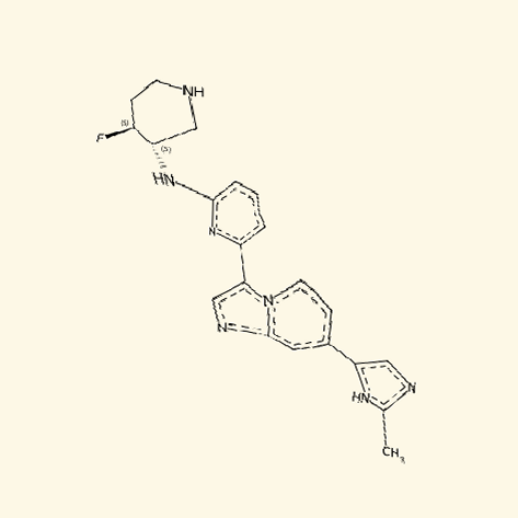 Cc1ncc(-c2ccn3c(-c4cccc(N[C@H]5CNCC[C@@H]5F)n4)cnc3c2)[nH]1